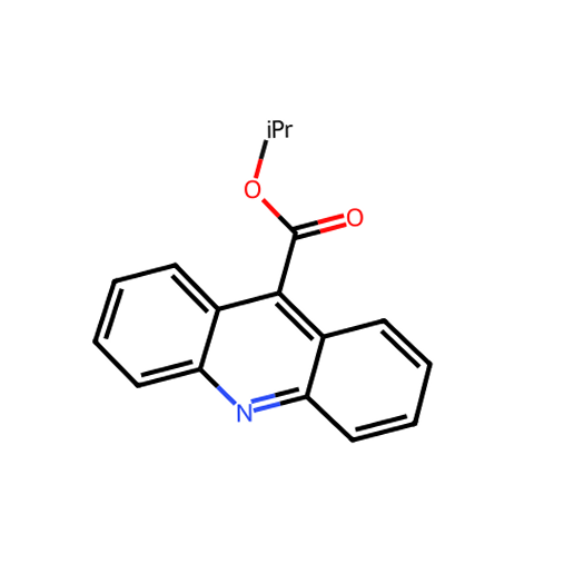 CC(C)OC(=O)c1c2ccccc2nc2ccccc12